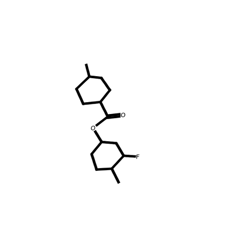 CC1CCC(C(=O)OC2CCC(C)C(F)C2)CC1